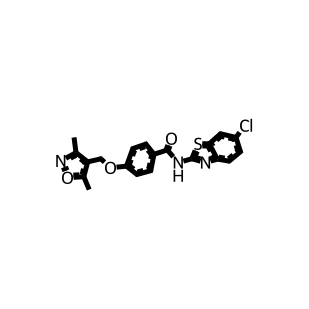 Cc1noc(C)c1COc1ccc(C(=O)Nc2nc3ccc(Cl)cc3s2)cc1